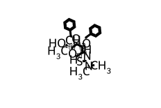 CN(C)C1=N[C@@H]2[C@@H](OCc3ccccc3)[C@@H](OCc3ccccc3)[C@@H](C(C)(C)O)O[C@@H]2S1